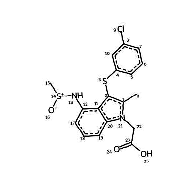 Cc1c(Sc2cccc(Cl)c2)c2c(N[S+](C)[O-])cccc2n1CC(=O)O